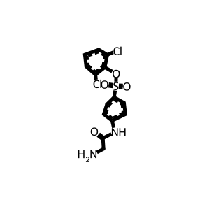 NCC(=O)Nc1ccc(S(=O)(=O)Oc2c(Cl)cccc2Cl)cc1